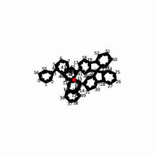 c1ccc(-c2cccc(N(c3ccccc3)c3ccc4c(c3)C3(c5ccccc5-c5ccc(N(c6ccccc6)c6ccccc6)cc53)c3ccccc3-4)c2)cc1